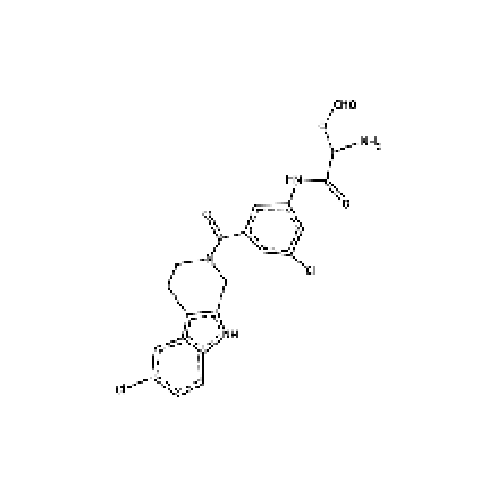 NC(OC=O)C(=O)Nc1cc(Cl)cc(C(=O)N2CCc3c([nH]c4ccc(Cl)cc34)C2)c1